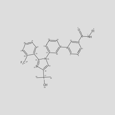 CCNC(=O)c1cccc(-c2cccc(-n3cc(C(C)(C)O)nc3-c3ccccc3C(F)(F)F)c2)c1